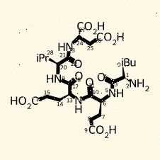 CC[C@H](C)[C@H](N)C(=O)N[C@@H](CCC(=O)O)C(=O)N[C@@H](CCC(=O)O)C(=O)N[C@H](C(=O)N[C@@H](CC(=O)O)C(=O)O)C(C)C